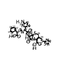 Nc1nc(C(=NOC(C(=O)O)c2ccccc2)C(=O)NC2C(=O)N3C(C(=O)O)=C(CSc4nncs4)CS[C@@H]23)ns1